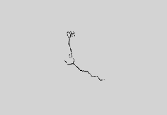 CCCCCCC(CC)COCCO